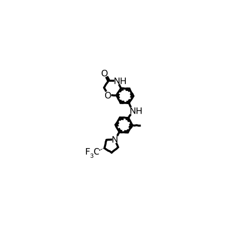 Cc1cc(N2CC[C@H](C(F)(F)F)C2)ccc1Nc1ccc2c(c1)OCC(=O)N2